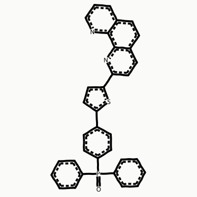 O=P(c1ccccc1)(c1ccccc1)c1ccc(-c2ccc(-c3ccc4ccc5cccnc5c4n3)s2)cc1